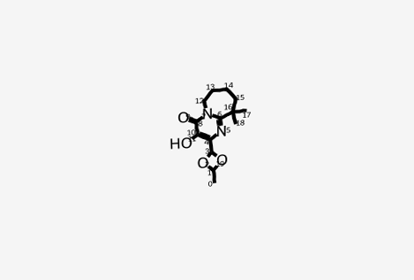 CC1OC(c2nc3n(c(=O)c2O)CCCCC3(C)C)O1